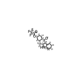 CC1(C)c2cc(OS(=O)C(F)(F)F)ccc2C(=O)c2c1[nH]c1ncccc21